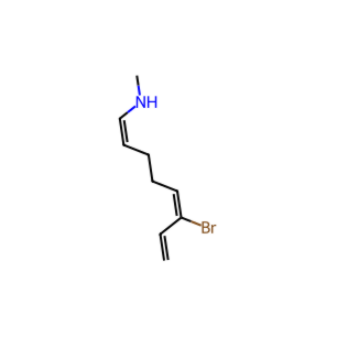 C=C/C(Br)=C\CC/C=C\NC